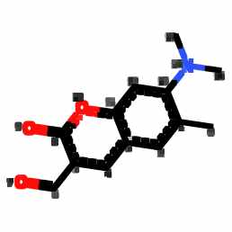 Cc1cc2cc(C=O)c(=O)oc2cc1N(C)C